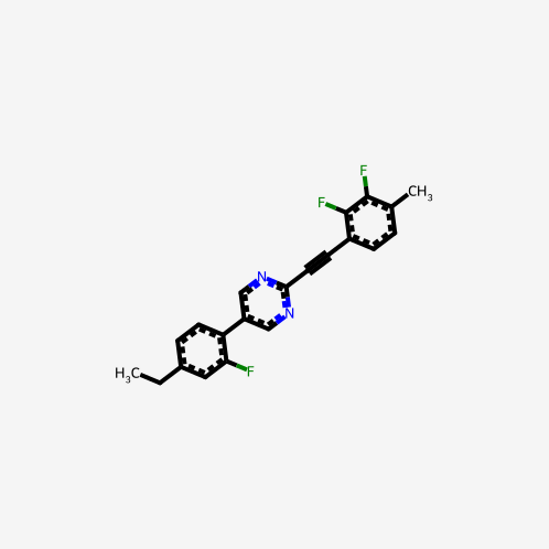 CCc1ccc(-c2cnc(C#Cc3ccc(C)c(F)c3F)nc2)c(F)c1